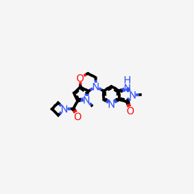 Cn1c(C(=O)N2CCC2)cc2c1N(c1cnc3c(=O)n(C)[nH]c3c1)CCO2